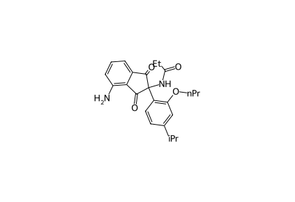 CCCOc1cc(C(C)C)ccc1C1(NC(=O)CC)C(=O)c2cccc(N)c2C1=O